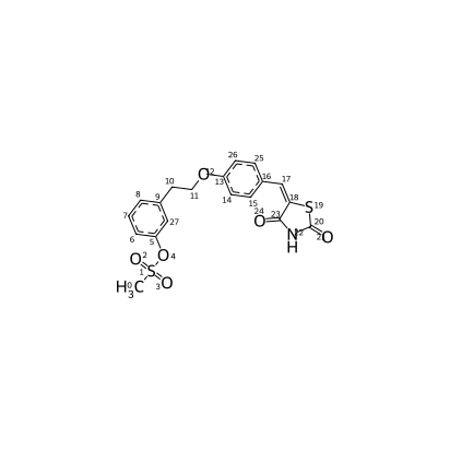 CS(=O)(=O)Oc1cccc(CCOc2ccc(C=C3SC(=O)NC3=O)cc2)c1